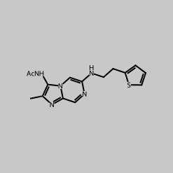 CC(=O)Nc1c(C)nc2cnc(NCCc3cccs3)cn12